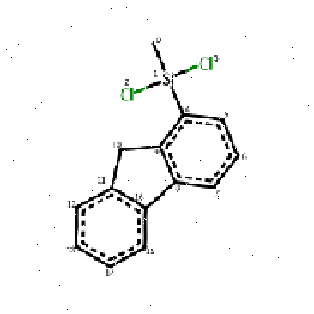 C[Si](Cl)(Cl)c1cccc2c1Cc1ccccc1-2